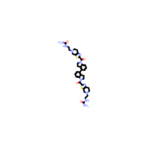 NC(=O)NCCN1CCc2nc(C(=O)N3CCc4c(-c5cccc6c5CCN6C(=O)c5nc6c(s5)CN(CCNC(N)=O)CC6)cccc43)sc2C1